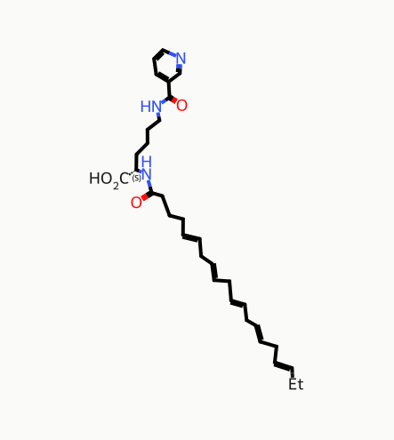 CCC=CCC=CCC=CCC=CCC=CCCCC(=O)N[C@@H](CCCCNC(=O)c1cccnc1)C(=O)O